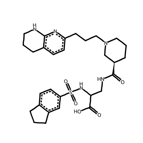 O=C(O)C(CNC(=O)[C@@H]1CCCN(CCCc2ccc3c(n2)NCCC3)C1)NS(=O)(=O)c1ccc2c(c1)CCC2